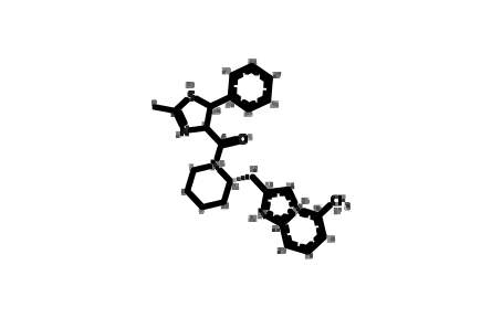 CC1=NC(C(=O)N2CCCC[C@H]2Cc2cn3c(C(F)(F)F)cccc3n2)C(c2ccccc2)S1